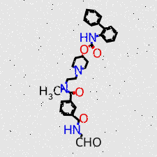 CN(CCN1CCC(OC(=O)Nc2ccccc2-c2ccccc2)CC1)C(=O)c1cccc(C(=O)NCC=O)c1